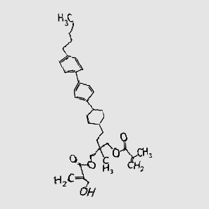 C=C(C)C(=O)OCC(C)(CCC1CCC(c2ccc(-c3ccc(CCCCC)cc3)cc2)CC1)COC(=O)C(=C)CO